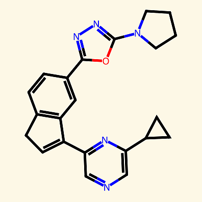 C1=C(c2cncc(C3CC3)n2)c2cc(-c3nnc(N4CCCC4)o3)ccc2C1